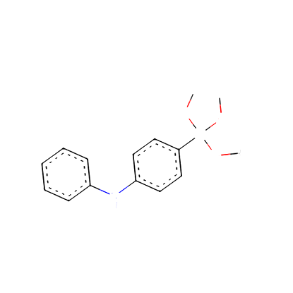 CCO[Si](OCC)(OCC)c1ccc(Nc2ccccc2)cc1